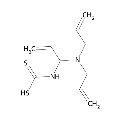 C=CCN(CC=C)C(C=C)NC(=S)S